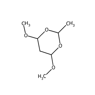 COC1CC(OC)OC(C)O1